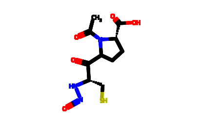 CC(=O)N1C(C(=O)[C@H](CS)NN=O)CC[C@H]1C(=O)O